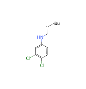 CCC(C)[CH]CNc1ccc(Cl)c(Cl)c1